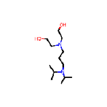 CC(C)N(CCCN(CCO)CCO)C(C)C